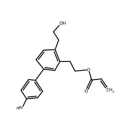 C=CC(=O)OCCc1cc(-c2ccc(CCC)cc2)ccc1CCO